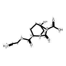 C=CCOC(=O)[C@H]1CC[C@H]2CN1C(=O)N2C(=O)O